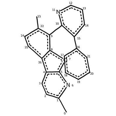 Cc1ccc2c(n1)oc1c(-c3ncccc3-c3ccccc3)c(C)ccc12